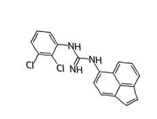 N=C(Nc1cccc(Cl)c1Cl)Nc1ccc2c3c(cccc13)C=C2